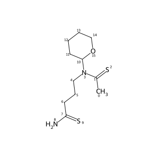 CC(=S)N(CCCC(N)=S)C1CCCCO1